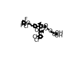 O=C(OCCOCCON(O)O)N1CC(C(=O)N(Cc2cccc(Cl)c2Cl)C2CC2)=C(c2ccc(CCCOc3c(F)ccc(F)c3Cl)cc2)C2(CC2)C1